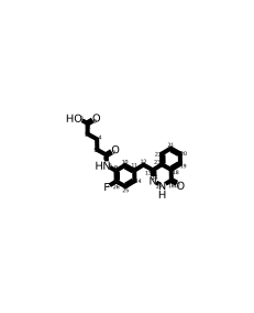 O=C(O)CCCC(=O)Nc1cc(Cc2n[nH]c(=O)c3ccccc23)ccc1F